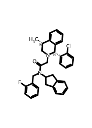 C[C@H]1CN(CC(=O)N(Cc2ccccc2F)C2Cc3ccccc3C2)[C@@H](c2ccccc2Cl)c2ccccc21